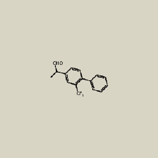 CC(C=O)c1ccc(-c2ccccc2)c(C(F)(F)F)c1